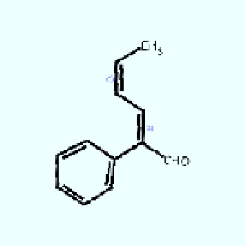 C/C=C\C=C(\C=O)c1ccccc1